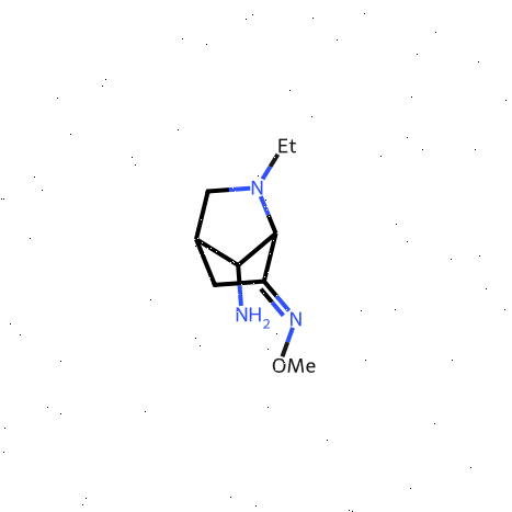 CCN1CC2C/C(=N\OC)C1C2N